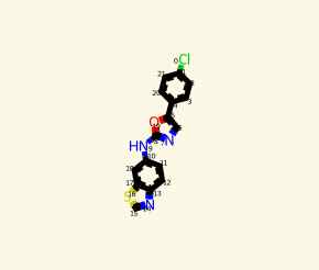 Clc1ccc(-c2cnc(Nc3ccc4ncsc4c3)o2)cc1